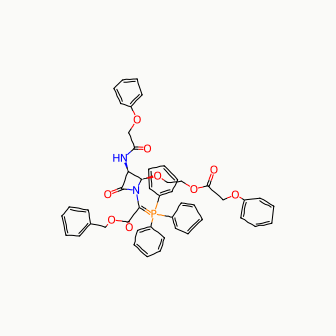 O=C(COc1ccccc1)N[C@@H]1C(=O)N(C(C(=O)OCc2ccccc2)=P(c2ccccc2)(c2ccccc2)c2ccccc2)[C@@H]1OCCOC(=O)COc1ccccc1